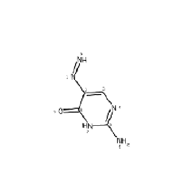 N=Nc1cnc(N)[nH]c1=O